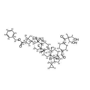 CC(CO)(CO)C(=O)N1CCN(C(=O)[C@]23CCC(C4(C)CC4)[C@@H]2[C@H]2CC[C@@H]4[C@]5(C)CC[C@H]([C@@]6(C(=O)O)C[C@@H](C(=O)OCc7ccccc7)C6(C)C)C(C)(C)[C@H]5CC[C@@]4(C)[C@]2(C)CC3)CC1